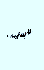 Cc1cn(CCC(F)CN(N)/C=C(\N)C(=O)NCc2cc(C(C)(F)F)ccn2)nn1